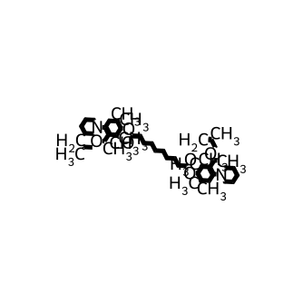 C=C(C)COC(C)C1=C(N2CCCCC2)CC(C)(C)C(OC(=O)CCCCCCCCC(=O)OC2C(C)(C)CC(N3CCCCC3)=C(C(C)OCC(=C)C)C2(C)C)C1(C)C